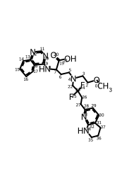 COCCN(CCC(Nc1ncnc2ccccc12)C(=O)O)CC(F)(F)CCc1ccc2c(n1)NCCC2